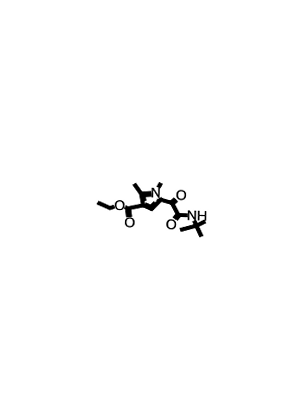 CCOC(=O)c1cc(C(=O)C(=O)NC(C)(C)C)n(C)c1C